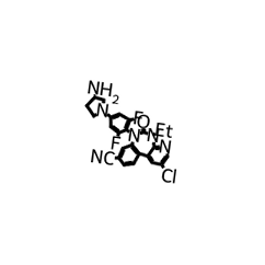 CCN1C(=O)N(c2c(F)cc(N3CC[C@H](N)C3)cc2F)c2cc(C#N)ccc2-c2cc(Cl)cnc21